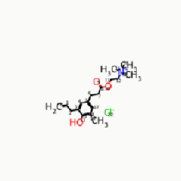 C=CCc1cc(CCC(=O)OCC[N+](C)(C)C)cc(C)c1O.[Cl-]